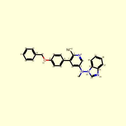 CN(c1cnc(C#N)c(-c2ccc(OCc3ccccc3)cc2)c1)n1cnc2ccccc21